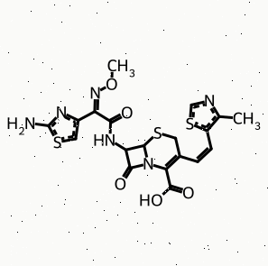 CO/N=C(\C(=O)NC1C(=O)N2C(C(=O)O)=C(/C=C\c3scnc3C)CSC12)c1csc(N)n1